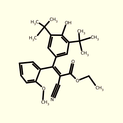 CCOC(=O)C(C#N)=C(c1cc(C(C)(C)C)c(O)c(C(C)(C)C)c1)c1ccccc1OC